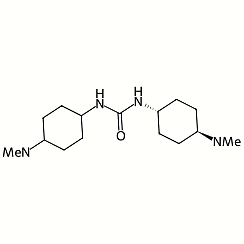 CNC1CCC(NC(=O)N[C@H]2CC[C@H](NC)CC2)CC1